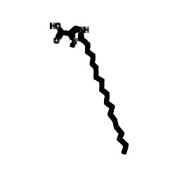 CCCCCCCCCCCCCCCCCCc1[nH]cc(C(=O)O)[n+]1C